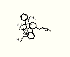 C=CCC1CC[C@@](CC)(C(N)(CC(=O)O)c2ccccc2)c2[nH]c3c(CC)cccc3c21